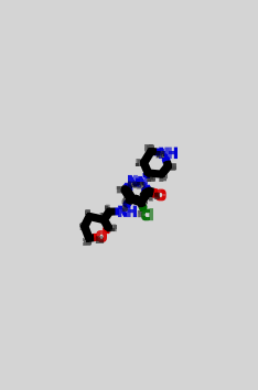 O=c1c(Cl)c(NCC2CCCOC2)cnn1C1CCNCC1